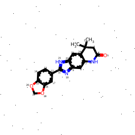 CC1(C)CC(=O)Nc2cc3nc(-c4ccc5c(c4)OCO5)[nH]c3cc21